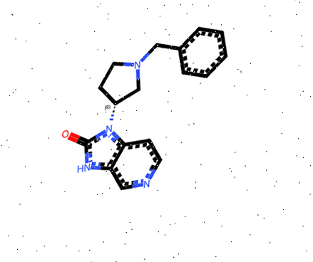 O=c1[nH]c2cnccc2n1[C@@H]1CCN(Cc2ccccc2)C1